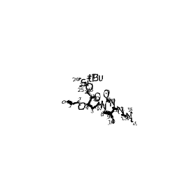 C=CCOC1C[C@H](n2cc(I)c(/N=C/N(C)C)nc2=O)O[C@@H]1CO[Si](C)(C)C(C)(C)C